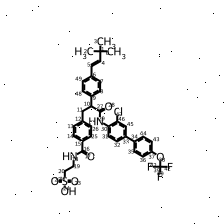 CC(C)(C)/C=C/c1ccc(C(Cc2ccc(C(=O)NCCS(=O)(=O)O)cc2)C(=O)Nc2ccc(-c3ccc(OC(F)(F)F)cc3)cc2Cl)cc1